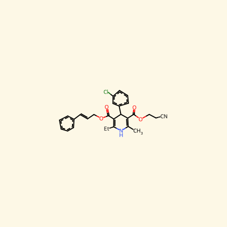 CCC1=C(C(=O)OC/C=C/c2ccccc2)C(c2cccc(Cl)c2)C(C(=O)OCCC#N)=C(C)N1